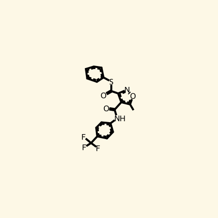 Cc1onc(C(=O)Sc2ccccc2)c1C(=O)Nc1ccc(C(F)(F)F)cc1